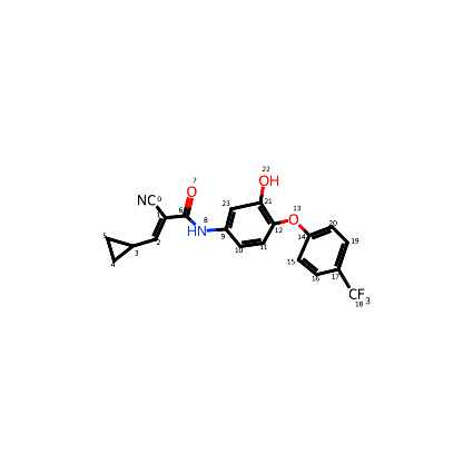 N#CC(=CC1CC1)C(=O)Nc1ccc(Oc2ccc(C(F)(F)F)cc2)c(O)c1